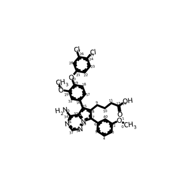 COc1cccc(-c2c(CCCC(=O)O)c(-c3ccc(Oc4ccc(Cl)c(Cl)c4)c(OC)c3)c3c(N)ncnn23)c1